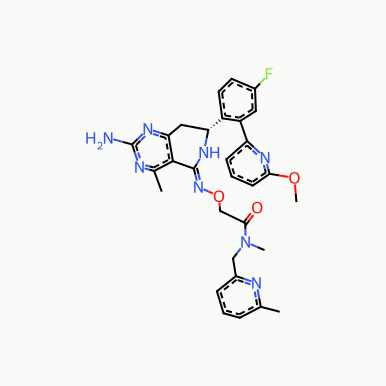 COc1cccc(-c2cc(F)ccc2[C@H]2Cc3nc(N)nc(C)c3/C(=N/OCC(=O)N(C)Cc3cccc(C)n3)N2)n1